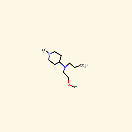 CC(C)OCCN(CCC(=O)O)C1CCN(C)CC1